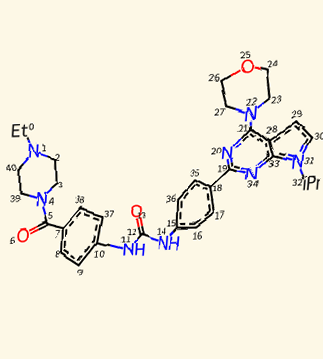 CCN1CCN(C(=O)c2ccc(NC(=O)Nc3ccc(-c4nc(N5CCOCC5)c5ccn(C(C)C)c5n4)cc3)cc2)CC1